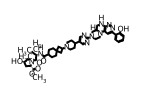 COC(=O)[C@@H]1C[C@@H](O)CN1C(=O)[C@@H](NC(=O)C1CCC2(CC1)CC(N1CCC(c3cnc(N4CCN5c6cc(-c7ccccc7O)nnc6NC[C@H]5C4)nc3)CC1)C2)C(C)(C)C